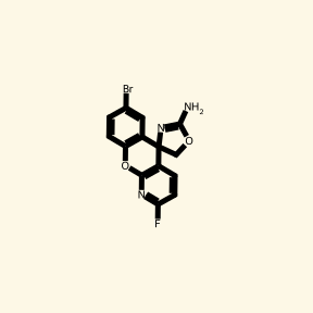 NC1=NC2(CO1)c1cc(Br)ccc1Oc1nc(F)ccc12